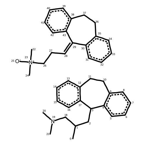 CC(CC1c2ccccc2CCc2ccccc21)CN(C)C.C[N+](C)([O-])CCC=C1c2ccccc2CCc2ccccc21